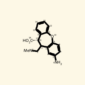 CNCC1c2cc(N)ccc2Oc2ccccc2[C@H]1C(=O)O